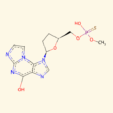 COP(O)(=S)OC[C@@H]1CC[C@H](n2cnc3c(O)nc4nccn4c32)O1